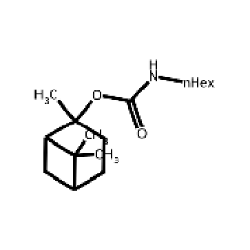 CCCCCCNC(=O)OC1(C)CCC2CC1C2(C)C